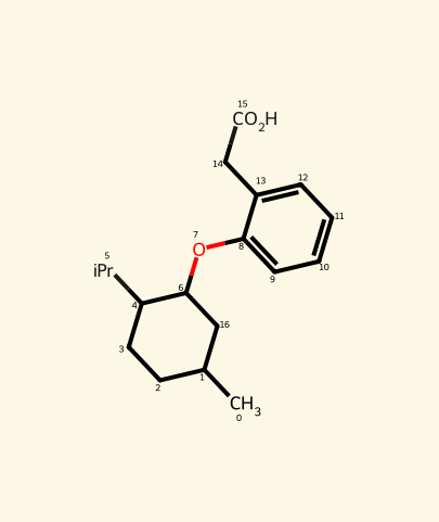 CC1CCC(C(C)C)C(Oc2ccccc2CC(=O)O)C1